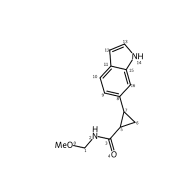 COCNC(=O)C1CC1c1ccc2cc[nH]c2c1